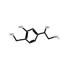 NCC(O)c1ccc(CO)c(O)c1